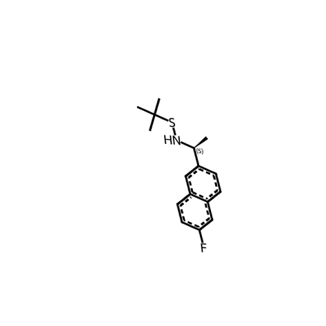 C[C@H](NSC(C)(C)C)c1ccc2cc(F)ccc2c1